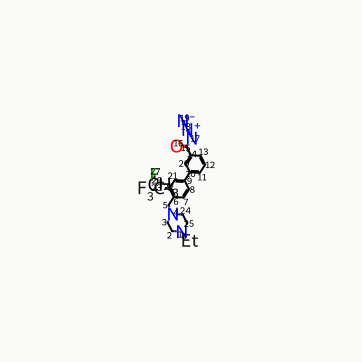 CCN1CCN(Cc2ccc(-c3cccc(C(=O)N=[N+]=[N-])c3)cc2C(F)(F)F)CC1.CF